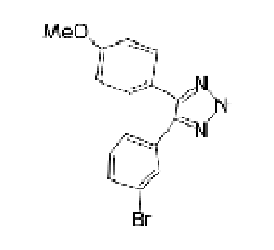 COc1ccc(C2=N[N]N=C2c2cccc(Br)c2)cc1